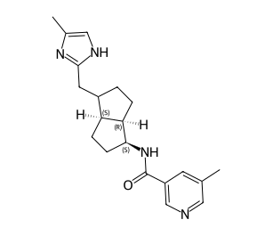 Cc1cncc(C(=O)N[C@H]2CC[C@H]3C(Cc4nc(C)c[nH]4)CC[C@@H]23)c1